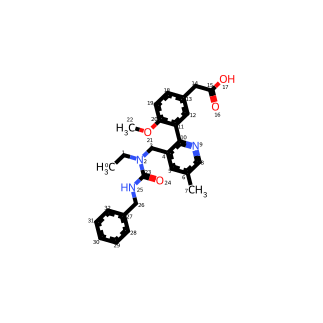 CCN(Cc1cc(C)cnc1-c1cc(CC(=O)O)ccc1OC)C(=O)NCc1ccccc1